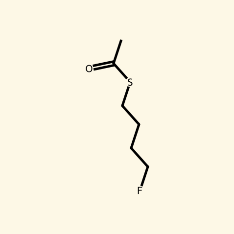 CC(=O)SCCCCF